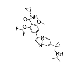 COc1cc(-c2cnc3cc(C4(CNC(C)C)CC4)ccn23)cc(OC(F)F)c1C(=O)NC1CC1